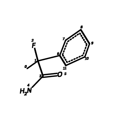 CC(F)(C(N)=O)c1ccccc1